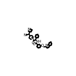 N#CC(c1cccnc1)C1CCN(C(=O)[C@@H](NC(=O)c2cccc(OCc3ccc4ccccc4n3)c2)c2ccccc2)CC1